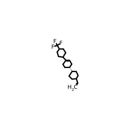 C=CC1CCC([C@H]2CC=C(C3CCC(C(F)(F)F)CC3)CC2)CC1